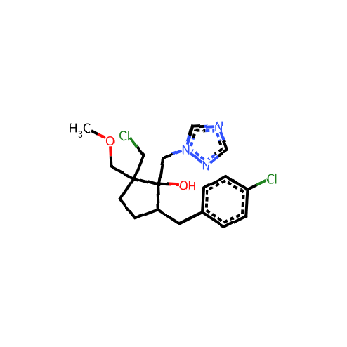 COCC1(CCl)CCC(Cc2ccc(Cl)cc2)C1(O)Cn1cncn1